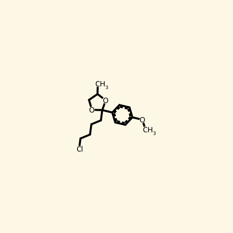 COc1ccc(C2(CCCCCl)OCC(C)O2)cc1